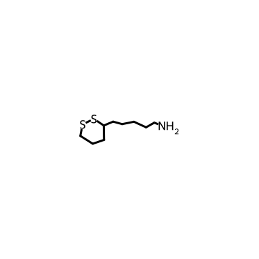 NCCCCCC1CCCSS1